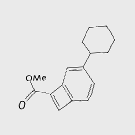 COC(=O)C1=Cc2ccc(C3CCCCC3)cc21